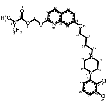 CN(C)C(=O)OCOc1ccc2ccc(OCCCCN3CCN(c4cccc(Cl)c4Cl)CC3)cc2n1